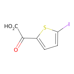 O=C(O)C(=O)c1ccc(I)s1